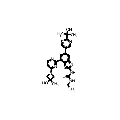 CCNC(=O)Nc1nc2cc(-c3cnc(C(C)(C)O)nc3)cc(-c3nccc(N4CC(C)(O)C4)n3)c2s1